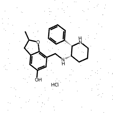 CC1Cc2cc(O)cc(CN[C@H]3CCCN[C@H]3c3ccccc3)c2O1.Cl